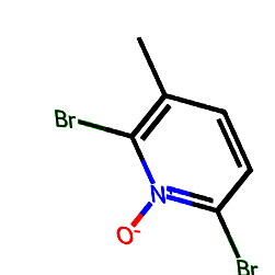 Cc1ccc(Br)[n+]([O-])c1Br